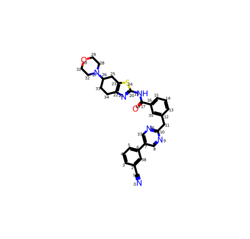 N#Cc1cccc(-c2cnc(Cc3cccc(C(=O)Nc4nc5c(s4)CC(N4CCOCC4)CC5)c3)nc2)c1